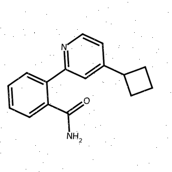 NC(=O)c1ccccc1-c1cc(C2CCC2)ccn1